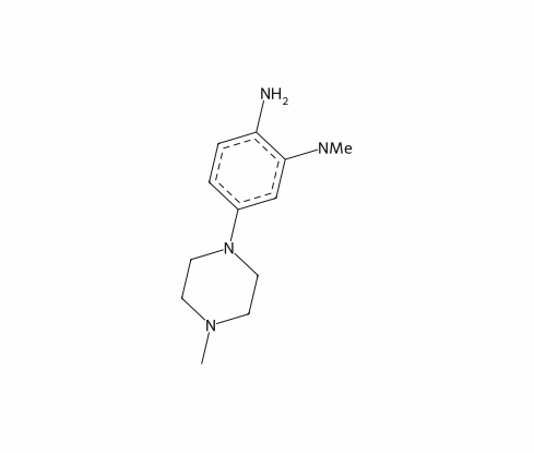 CNc1cc(N2CCN(C)CC2)ccc1N